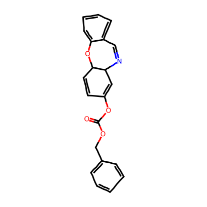 O=C(OCc1ccccc1)OC1=CC2N=Cc3ccccc3OC2C=C1